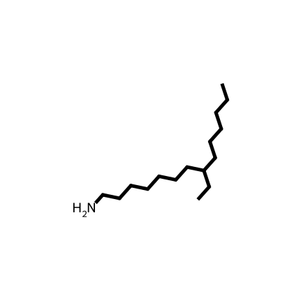 CCCCCCC(CC)CCCCCCCN